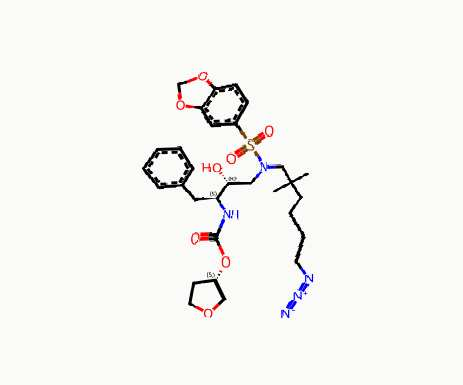 CC(C)(CCCCN=[N+]=[N-])CN(C[C@@H](O)[C@H](Cc1ccccc1)NC(=O)O[C@H]1CCOC1)S(=O)(=O)c1ccc2c(c1)OCO2